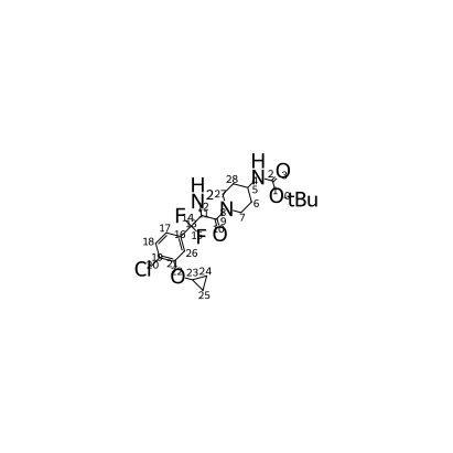 CC(C)(C)OC(=O)NC1CCN(C(=O)C(N)C(F)(F)c2ccc(Cl)c(OC3CC3)c2)CC1